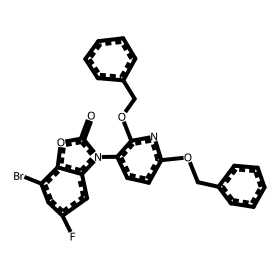 O=c1oc2c(Br)cc(F)cc2n1-c1ccc(OCc2ccccc2)nc1OCc1ccccc1